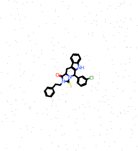 O=C1C2Cc3c([nH]c4ccccc34)C(c3cccc(Cl)c3)N2C(=S)N1CCc1ccccc1